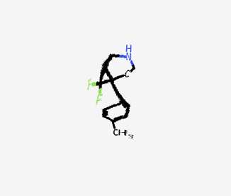 Cc1ccc(C23CCNCC2C3(F)F)cc1